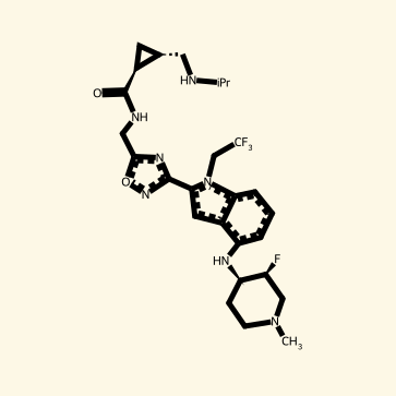 CC(C)NC[C@H]1C[C@@H]1C(=O)NCc1nc(-c2cc3c(N[C@@H]4CCN(C)C[C@@H]4F)cccc3n2CC(F)(F)F)no1